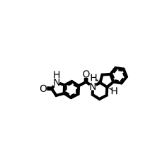 O=C1Cc2ccc(C(=O)N3CCC[C@@H]4c5ccccc5C[C@@H]43)cc2N1